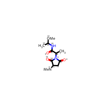 CNC1CC(=O)N(C(C)C(=O)NC(C)OC)C1=O